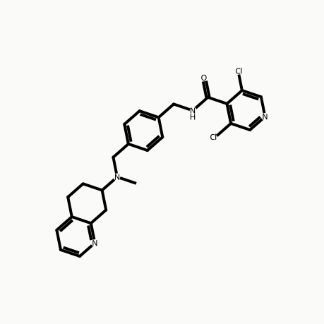 CN(Cc1ccc(CNC(=O)c2c(Cl)cncc2Cl)cc1)C1CCc2cccnc2C1